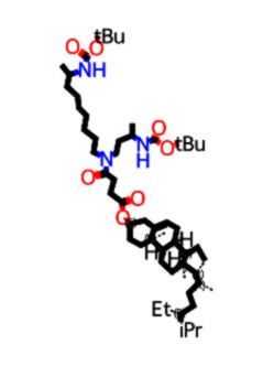 CC[C@H](CC[C@@H](C)[C@H]1CC[C@H]2[C@@H]3CC=C4C[C@@H](OC(=O)CCC(=O)N(CCCCCCCC(C)NC(=O)OC(C)(C)C)CCC(C)NC(=O)OC(C)(C)C)CC[C@]4(C)[C@H]3CC[C@]12C)C(C)C